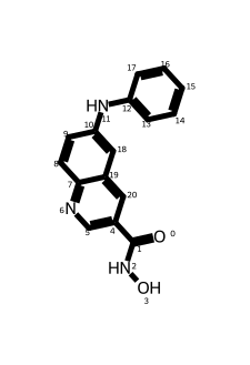 O=C(NO)c1cnc2ccc(Nc3ccccc3)cc2c1